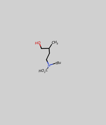 CC(CO)CCN(C(=O)O)C(C)(C)C